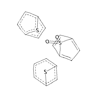 O=S1(=O)C2=CC=C1C=C2.c1cc2cc(c1)S2.c1cc2ccc1s2